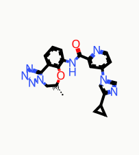 C[C@@H]1Cn2nnnc2-c2cccc(NC(=O)c3cc(-n4cnc(C5CC5)c4)ccn3)c2O1